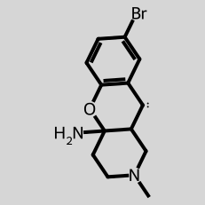 CN1CCC2(N)Oc3ccc(Br)cc3[C]C2C1